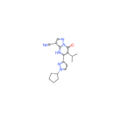 CC(C)c1c(-c2ccn(C3CCCC3)n2)[nH]c2c(C#N)cnn2c1=O